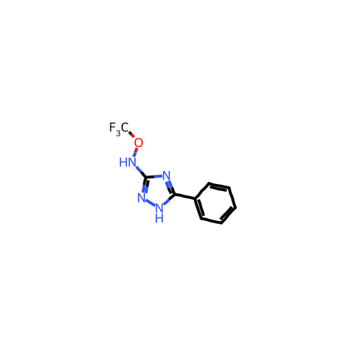 FC(F)(F)ONc1n[nH]c(-c2ccccc2)n1